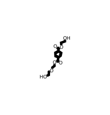 O=C(OCCO)c1ccc(C(=O)OCCOCCO)cc1